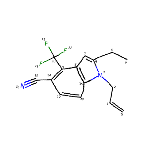 C=CCn1c(CC)cc2c(C(F)(F)F)c(C#N)ccc21